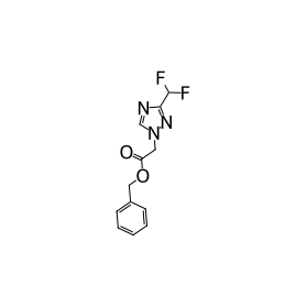 O=C(Cn1cnc(C(F)F)n1)OCc1ccccc1